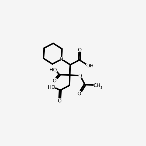 CC(=O)OC(CC(=O)O)(C(=O)O)C(C(=O)O)N1CCCCC1